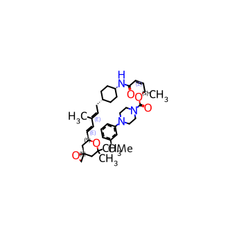 COc1cccc(N2CCN(C(=O)O[C@@H](C)/C=C\C(=O)N[C@H]3CC[C@@H](C/C=C(C)/C=C/[C@@H]4C[C@]5(CO5)CC(C)(C)O4)CC3)CC2)c1